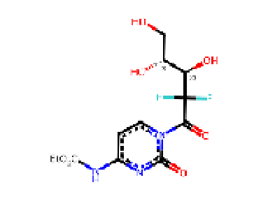 CCOC(=O)Nc1ccn(C(=O)C(F)(F)[C@H](O)[C@H](O)CO)c(=O)n1